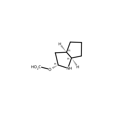 O=C(O)O[C@@H]1C[C@H]2CCC[C@H]2N1